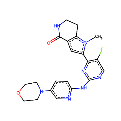 Cn1c(-c2nc(Nc3ccc(N4CCOCC4)cn3)ncc2F)cc2c1CCNC2=O